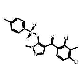 Cc1ccc(S(=O)(=O)Oc2c(C(=O)c3ccc(Cl)c(C)c3Cl)cnn2C)cc1